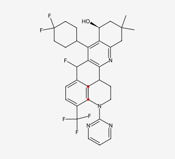 CC1(C)Cc2nc(C3CCN(c4ncccn4)CC3)c(C(F)c3ccc(C(F)(F)F)cc3)c(C3CCC(F)(F)CC3)c2[C@@H](O)C1